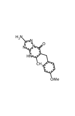 COc1ccc(Cc2c(C)[nH]c3nc(N)nn3c2=O)cc1